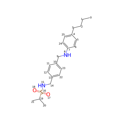 CCCCc1ccc(NCc2ccc(CNS(=O)(=O)C(C)C)cc2)cc1